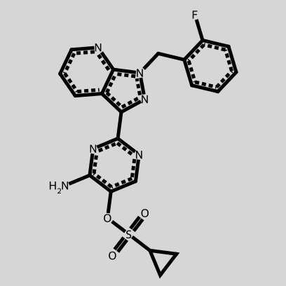 Nc1nc(-c2nn(Cc3ccccc3F)c3ncccc23)ncc1OS(=O)(=O)C1CC1